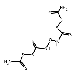 NC(=S)SSC(=S)NONC(=S)SSC(N)=S